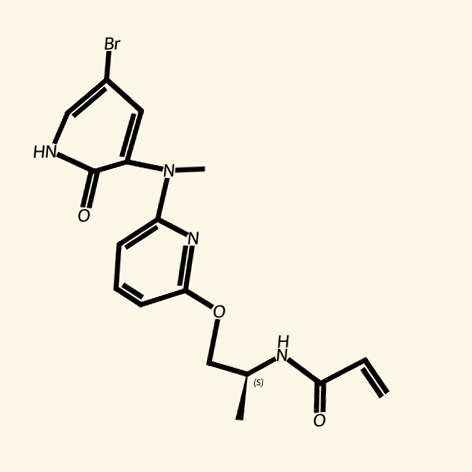 C=CC(=O)N[C@@H](C)COc1cccc(N(C)c2cc(Br)c[nH]c2=O)n1